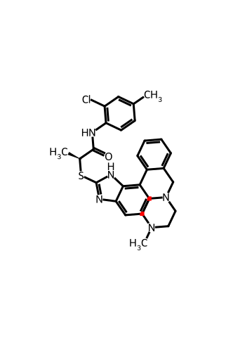 Cc1ccc(NC(=O)[C@H](C)Sc2nc3cccc(-c4ccccc4CN4CCN(C)CC4)c3[nH]2)c(Cl)c1